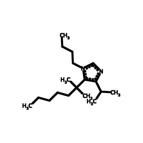 CCCCCC(C)(C)c1c(C(C)C)ncn1CCCC